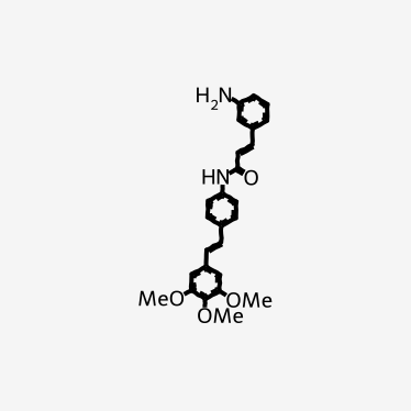 COc1cc(C=Cc2ccc(NC(=O)/C=C/c3cccc(N)c3)cc2)cc(OC)c1OC